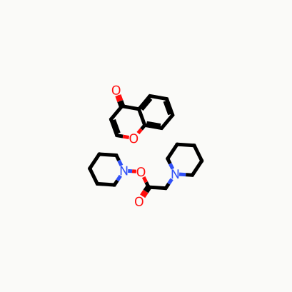 O=C(CN1CCCCC1)ON1CCCCC1.O=c1ccoc2ccccc12